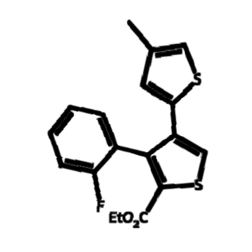 CCOC(=O)c1scc(-c2cc(C)cs2)c1-c1ccccc1F